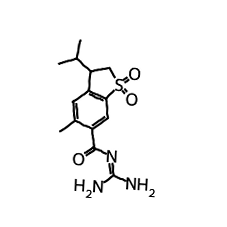 Cc1cc2c(cc1C(=O)N=C(N)N)S(=O)(=O)CC2C(C)C